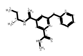 C=C(N[C@H](C)CC)c1cc(Cc2ccccn2)nc(C(=O)NC)c1